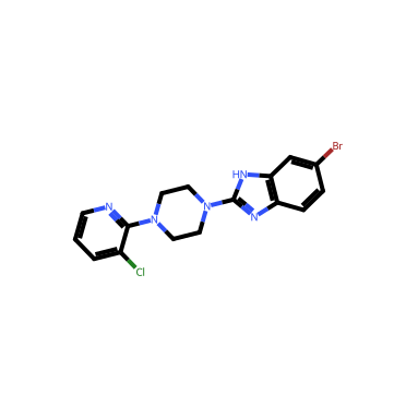 Clc1cccnc1N1CCN(c2nc3ccc(Br)cc3[nH]2)CC1